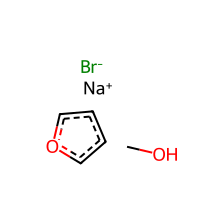 CO.[Br-].[Na+].c1ccoc1